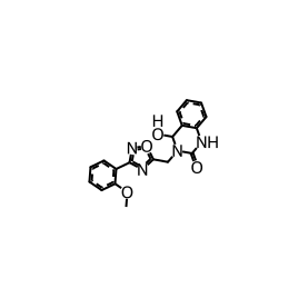 COc1ccccc1-c1noc(CN2C(=O)Nc3ccccc3C2O)n1